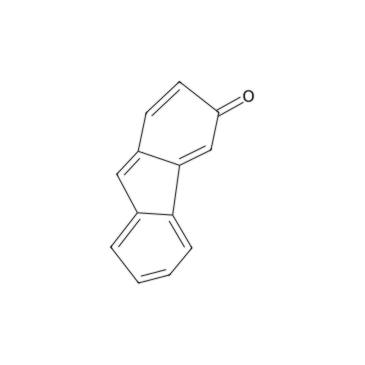 O=C1C=CC2=Cc3ccccc3C2=C1